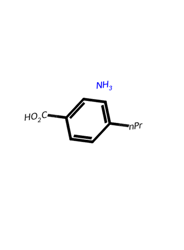 CCCc1ccc(C(=O)O)cc1.N